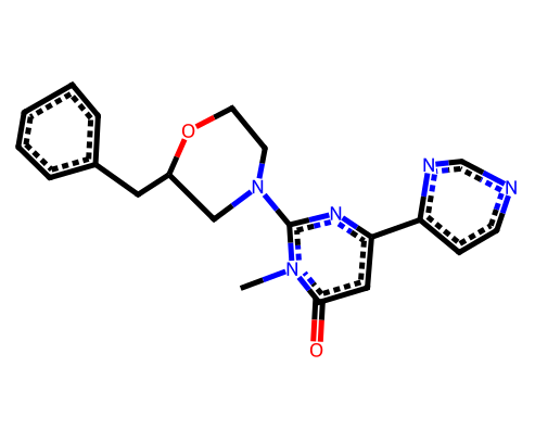 Cn1c(N2CCOC(Cc3ccccc3)C2)nc(-c2ccncn2)cc1=O